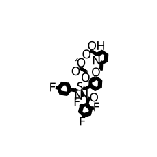 COC(=O)COc1c(OCc2cccc(C(=O)O)n2)cccc1C1SC(c2ccc(F)cc2)=NN1C(=O)c1c(F)cc(F)cc1F